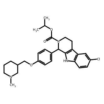 CC(C)OC(=O)N1CCc2c([nH]c3ccc(Cl)cc23)C1c1ccc(OCC2CCCN(C)C2)cc1